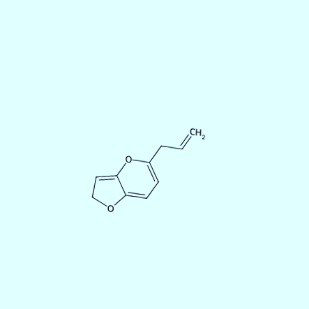 C=CCC1=CC=C2OCC=C2O1